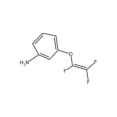 Nc1cccc(OC(F)=C(F)F)c1